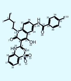 CC(C)CCn1c(=O)c(C2=NS(=O)(=O)c3ccccc3N2)c(O)c2cc(NC(=O)c3ccc(F)cc3)ccc21